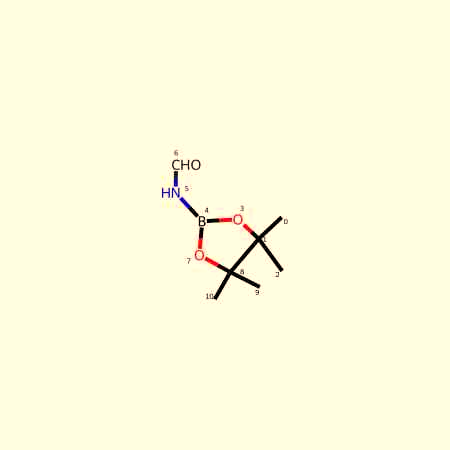 CC1(C)OB(NC=O)OC1(C)C